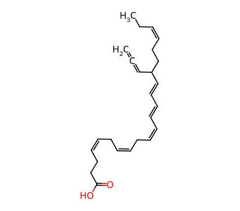 C=C=CC(/C=C/C=C/C=C\C/C=C\C/C=C\CCC(=O)O)CC/C=C\CC